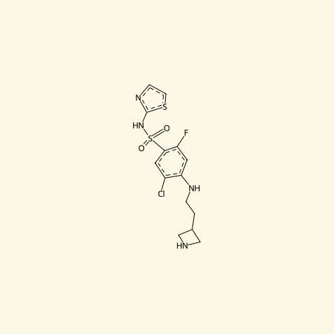 O=S(=O)(Nc1nccs1)c1cc(Cl)c(NCCC2CNC2)cc1F